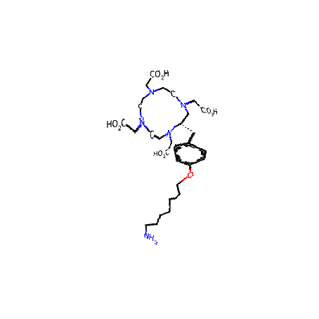 NCCCCCCCOc1ccc(C[C@H]2CN(CC(=O)O)CCN(CC(=O)O)CCN(CC(=O)O)CCN2CC(=O)O)cc1